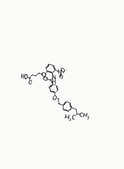 CC(C)Cc1ccc(CCOc2ccc(C(=O)Nc3c(OCCCC(=O)O)cccc3[N+](=O)[O-])cc2)cc1